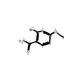 COc1c[c]c(C(N)=O)c(Br)n1